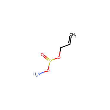 C=CCOS(=O)ON